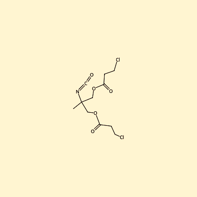 CC(COC(=O)CCCl)(COC(=O)CCCl)N=C=O